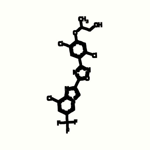 CC(CO)Oc1cc(Cl)c(-c2noc(-c3cn4cc(C(F)(F)F)cc(Cl)c4n3)n2)cc1Cl